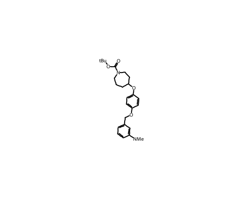 CNc1cccc(COc2ccc(OC3CCCN(C(=O)OC(C)(C)C)CC3)cc2)c1